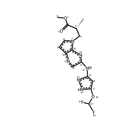 COC(=O)[C@H](C)Cn1ccc2ncc(Nc3cc(OC(F)F)[nH]n3)nc21